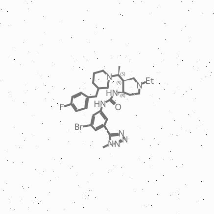 CCN1CC[C@@H](NC(=O)Nc2cc(Br)cc(-c3nnnn3C)c2)[C@@H]([C@H](C)N2CCCC(Cc3ccc(F)cc3)C2)C1